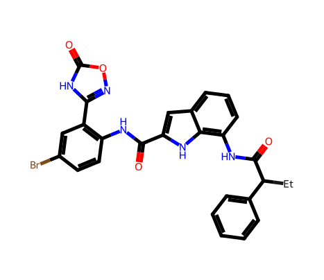 CCC(C(=O)Nc1cccc2cc(C(=O)Nc3ccc(Br)cc3-c3noc(=O)[nH]3)[nH]c12)c1ccccc1